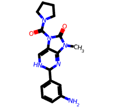 Cn1c2c(n(C(=O)N3CCCC3)c1=O)=CNC(c1cccc(N)c1)N=2